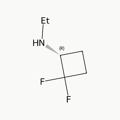 CCN[C@@H]1CCC1(F)F